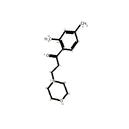 Cc1ccc(C(=O)CCN2CCOCC2)c(C)c1